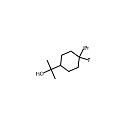 CC(C)C1(F)CCC(C(C)(C)O)CC1